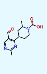 Cc1ncc(C=O)c(C2CCN(C(=O)O)C(C)C2)n1